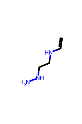 C=CNCCNN